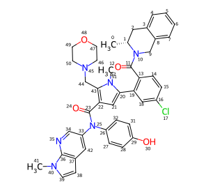 C[C@@H]1Cc2ccccc2CN1C(=O)c1ccc(Cl)cc1-c1cc(C(=O)N(c2ccc(O)cc2)c2cnc3c(ccn3C)c2)c(CN2CCOCC2)n1C